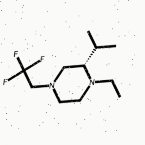 CCN1CCN(CC(F)(F)F)C[C@@H]1C(C)C